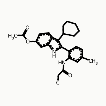 CC(=O)Oc1ccc2c(C3CCCCC3)c(-c3ccc(C)cc3NC(=O)CCl)[nH]c2c1